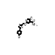 NC(=O)c1cc(OCc2nc(-c3ccc(Cl)cc3)cs2)ncc1Cl